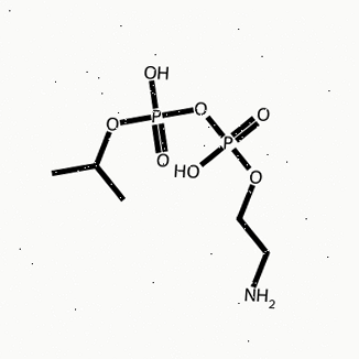 CC(C)OP(=O)(O)OP(=O)(O)OCCN